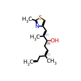 C=CC/C(C)=C\C[C@H](O)/C(C)=C/c1csc(C)n1